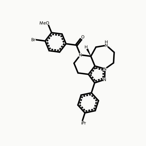 COc1cc(C(=O)N2CCc3c(-c4ccc(C(C)C)cc4)nn4c3[C@H]2CNCC4)ccc1Br